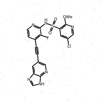 COc1ncc(Cl)cc1S(=O)(=O)Nc1nccc(C#Cc2cnc3[nH]cnc3c2)c1F